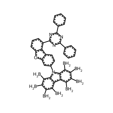 Bc1c(B)c(B)c2c(c1B)c1c(B)c(B)c(B)c(B)c1n2-c1ccc2c(c1)oc1cccc(-c3nc(-c4ccccc4)nc(-c4ccccc4)n3)c12